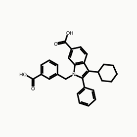 O=C(O)c1cccc(Cn2c(-c3ccccc3)c(C3CCCCC3)c3ccc(C(=O)O)cc32)c1